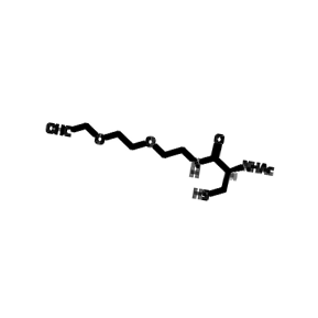 CC(=O)N[C@@H](CS)C(=O)NCCOCCOCC=O